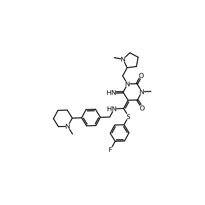 CN1C(=O)/C(=C(/NCc2ccc(C3CCCCN3C)cc2)Sc2ccc(F)cc2)C(=N)N(CC2CCCN2C)C1=O